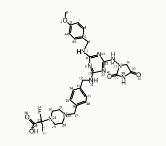 COc1ccc(CNc2nc(NCc3ccc(CN4CCN(C(F)(F)C(=O)O)CC4)cc3)nc(NN3CC(=O)NC3=O)n2)cc1